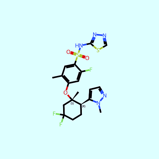 Cc1cc(S(=O)(=O)Nc2nncs2)c(F)cc1O[C@@]1(C)CC(F)(F)CC[C@@H]1c1ccnn1C